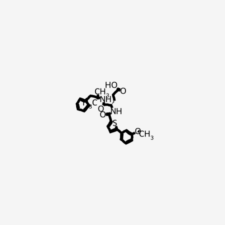 COc1cccc(-c2ccc(C(=O)N[C@@H](CCC(=O)O)C(=O)NC(C)(C)Cc3ccccc3)s2)c1